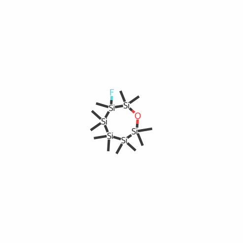 C[Si]1(C)O[Si](C)(C)[Si](C)(F)[Si](C)(C)[Si](C)(C)[Si]1(C)C